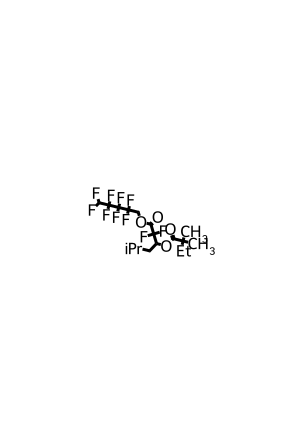 CCC(C)(C)C(=O)OC(CC(C)C)C(F)(F)C(=O)OCC(F)(F)C(F)(F)C(F)(F)C(F)F